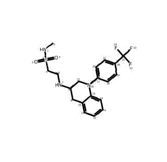 CNS(=O)(=O)CCNC1Cc2ccccc2N(c2ccc(C(F)(F)F)cc2)C1